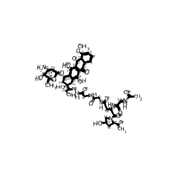 COC1=CC=CC2C(=O)c3c(O)c4c(c(O)c3C(=O)C12)[C@@H](OC1C[C@@H](N)[C@H](O)C(C)O1)C[C@](O)(C(CO)=NNC(=O)CNC(=O)CNC(=O)CC(NC(=O)CNC(C)=O)C(=O)N1CC(O)CC1C(C)=O)C4